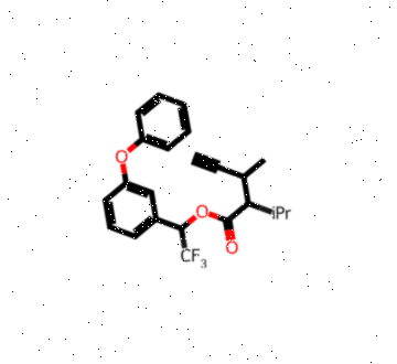 C#CC(C)C(C(=O)OC(c1cccc(Oc2ccccc2)c1)C(F)(F)F)C(C)C